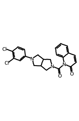 O=C(N1CC2CN(c3ccc(Cl)c(Cl)c3)CC2C1)n1c(=O)ccc2ccccc21